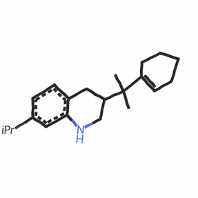 CC(C)c1ccc2c(c1)NCC(C(C)(C)C1=CCCCC1)C2